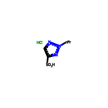 CCCn1ncc(S(=O)(=O)O)n1.Cl